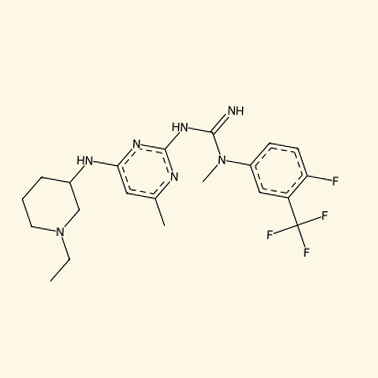 CCN1CCCC(Nc2cc(C)nc(NC(=N)N(C)c3ccc(F)c(C(F)(F)F)c3)n2)C1